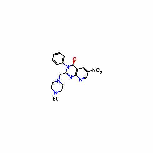 CCN1CCN(Cc2nc3ncc([N+](=O)[O-])cc3c(=O)n2-c2ccccc2)CC1